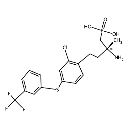 C[C@@](N)(CCc1ccc(Sc2cccc(C(F)(F)F)c2)cc1Cl)CP(=O)(O)O